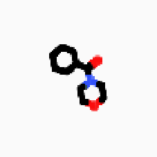 O=C(C1CCCCC1)N1CCOCC1